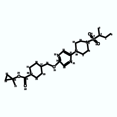 CCC(C)S(=O)(=O)N1CCN(c2cnc(OCC3CCN(C(=O)OC4(C)CC4)CC3)cn2)CC1